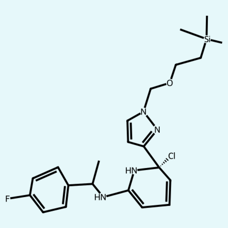 CC(NC1=CC=C[C@](Cl)(c2ccn(COCC[Si](C)(C)C)n2)N1)c1ccc(F)cc1